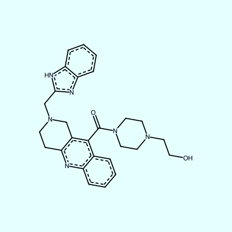 O=C(c1c2c(nc3ccccc13)CCN(Cc1nc3ccccc3[nH]1)C2)N1CCN(CCO)CC1